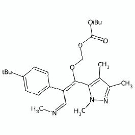 C/N=C\C(=C(\OCOC(=O)OCC(C)C)c1c(C)c(C)nn1C)c1ccc(C(C)(C)C)cc1